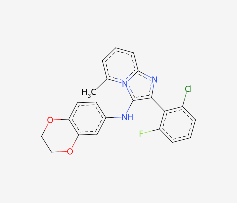 Cc1cccc2nc(-c3c(F)cccc3Cl)c(Nc3ccc4c(c3)OCCO4)n12